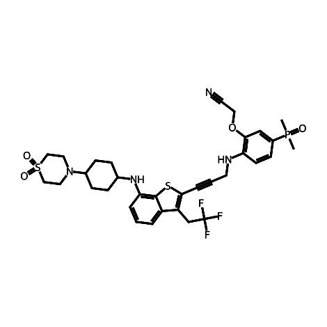 CP(C)(=O)c1ccc(NCC#Cc2sc3c(NC4CCC(N5CCS(=O)(=O)CC5)CC4)cccc3c2CC(F)(F)F)c(OCC#N)c1